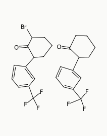 O=C1C(Br)CCCC1c1cccc(C(F)(F)F)c1.O=C1CCCCC1c1cccc(C(F)(F)F)c1